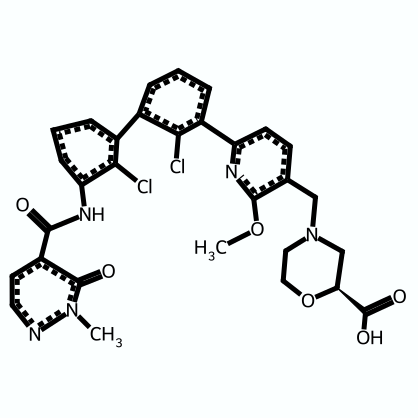 COc1nc(-c2cccc(-c3cccc(NC(=O)c4ccnn(C)c4=O)c3Cl)c2Cl)ccc1CN1CCO[C@H](C(=O)O)C1